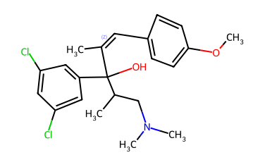 COc1ccc(/C=C(/C)C(O)(c2cc(Cl)cc(Cl)c2)C(C)CN(C)C)cc1